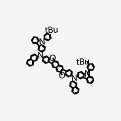 CC(C)(C)c1cccc(-n2c3ccccc3c3cc(N(c4ccc5ccccc5c4)c4ccc5c(c4)oc4cc6cc7c(cc6cc45)oc4cc(N(c5ccc6ccccc6c5)c5ccc6c(c5)c5ccccc5n6-c5cccc(C(C)(C)C)c5)ccc47)ccc32)c1